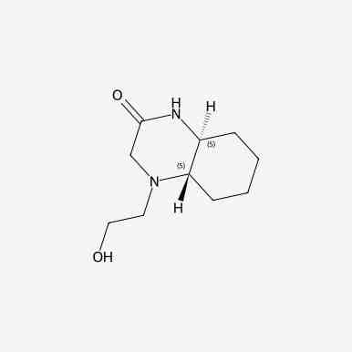 O=C1CN(CCO)[C@H]2CCCC[C@@H]2N1